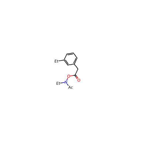 CCc1cccc(CC(=O)ON(CC)C(C)=O)c1